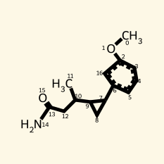 COc1cccc(C2CC2C(C)CC(N)=O)c1